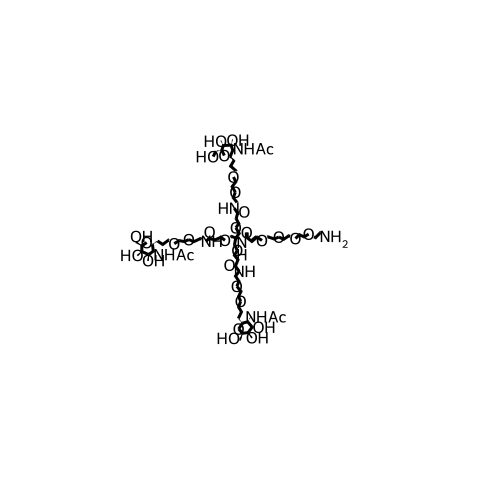 CC(=O)N[C@@H]1[C@@H](O)[C@@H](O)[C@@H](CO)O[C@@H]1CCCOCCOCCNC(=O)CCOCC(COCCC(=O)NCCOCCOCCC[C@H]1O[C@H](CO)[C@H](O)[C@H](O)[C@H]1NC(C)=O)(COCCC(=O)NCCOCCOCCC[C@H]1O[C@H](CO)[C@H](O)[C@H](O)[C@H]1NC(C)=O)NC(=O)C=COCCOCCOCCOCCN